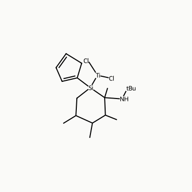 CC1C[Si](C2=CC=CC2)([Ti]([Cl])[Cl])C(C)(NC(C)(C)C)C(C)C1C